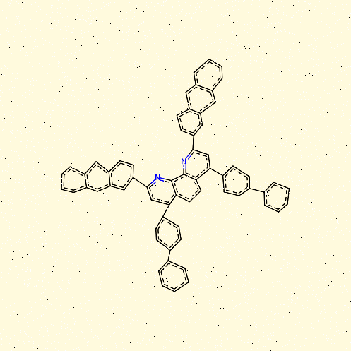 c1ccc(-c2ccc(-c3cc(-c4ccc5cc6ccccc6cc5c4)nc4c3ccc3c(-c5ccc(-c6ccccc6)cc5)cc(-c5ccc6cc7ccccc7cc6c5)nc34)cc2)cc1